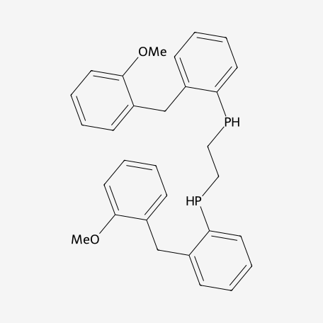 COc1ccccc1Cc1ccccc1PCCPc1ccccc1Cc1ccccc1OC